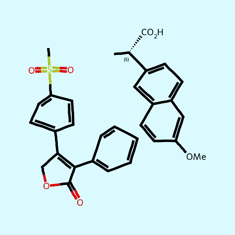 COc1ccc2cc([C@H](C)C(=O)O)ccc2c1.CS(=O)(=O)c1ccc(C2=C(c3ccccc3)C(=O)OC2)cc1